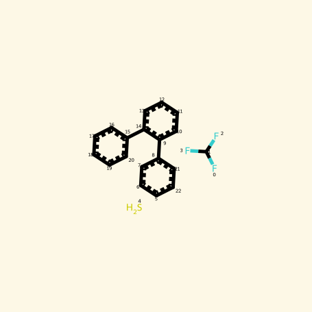 FC(F)F.S.c1ccc(-c2ccccc2-c2ccccc2)cc1